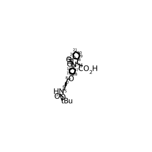 CC(C)(C)OC(=O)NCC#CCOc1ccc(N2C(CC(=O)O)c3ccccc3S2(=O)=O)cc1